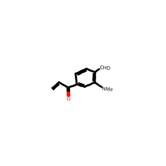 C=CC(=O)c1ccc(C=O)c(NC)c1